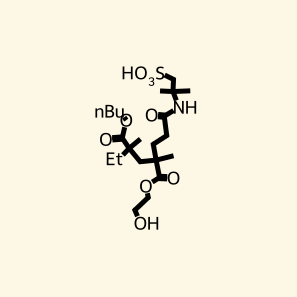 CCCCOC(=O)C(C)(CC)CC(C)(CCC(=O)NC(C)(C)CS(=O)(=O)O)C(=O)OCCO